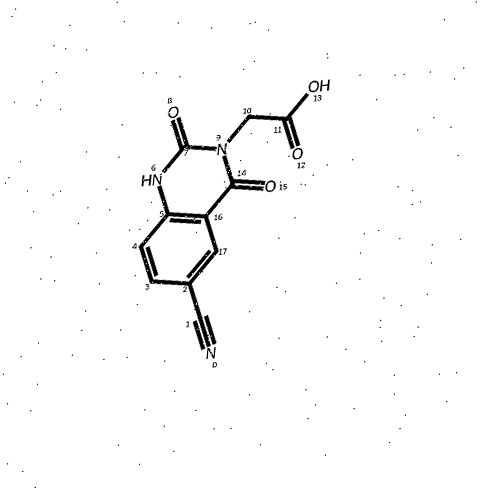 N#Cc1ccc2[nH]c(=O)n(CC(=O)O)c(=O)c2c1